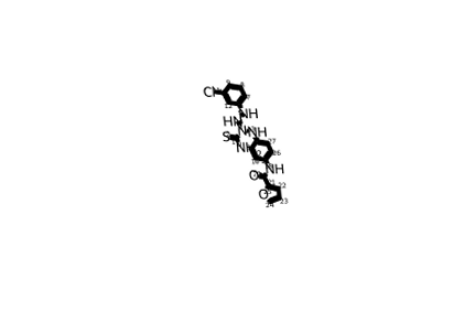 NC(=S)N(NNc1cccc(Cl)c1)Nc1ccc(NC(=O)c2ccco2)cc1